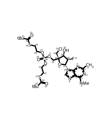 CNc1nc(C)nc2c1ncn2[C@@H]1O[C@](CCl)(COP(=O)(OCCSC(=O)C(C)(C)C)OCCSC(=O)C(C)(C)C)[C@@H](O)[C@H]1F